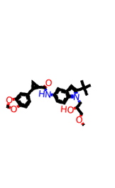 COCC(O)Cn1c(C(C)(C)C)cc2cc(NC(=O)C3=C(c4ccc5c(c4)OCO5)C3)ccc21